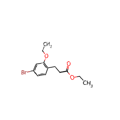 CCOC(=O)CCc1ccc(Br)cc1OCC